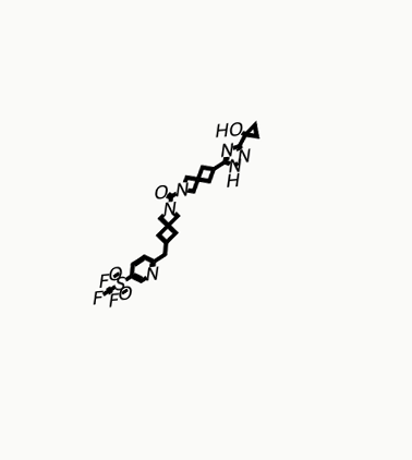 O=C(N1CC2(CC(Cc3ccc(S(=O)(=O)C(F)(F)F)cn3)C2)C1)N1CC2(CC(c3nc(C4(O)CC4)n[nH]3)C2)C1